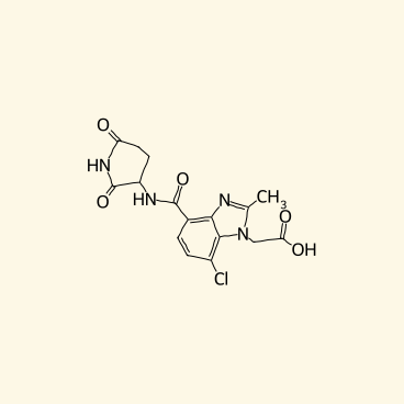 Cc1nc2c(C(=O)NC3CCC(=O)NC3=O)ccc(Cl)c2n1CC(=O)O